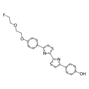 Oc1ccc(-c2csc(-c3nc(-c4ccc(OCCOCCF)cc4)cs3)n2)cc1